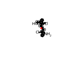 Nc1cc2c(c3ccccc13)[C@H](CCl)CN2C(=O)C12CC(C(=O)N3CC(CCl)c4c3cc(OP(=O)(O)O)c3ccccc43)(C1)C2